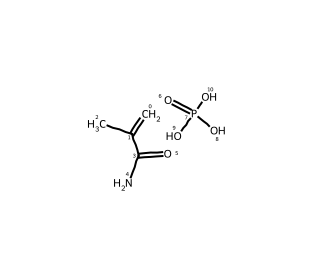 C=C(C)C(N)=O.O=P(O)(O)O